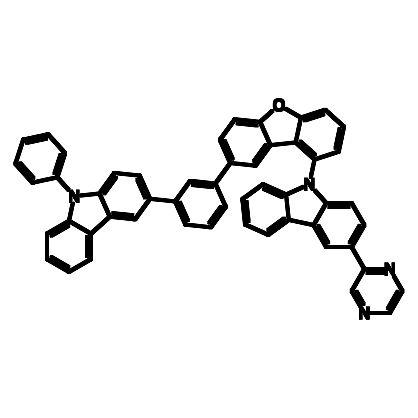 c1ccc(-n2c3ccccc3c3cc(-c4cccc(-c5ccc6oc7cccc(-n8c9ccccc9c9cc(-c%10cnccn%10)ccc98)c7c6c5)c4)ccc32)cc1